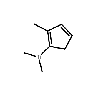 CC1=[C]([Ti]([CH3])[CH3])CC=C1